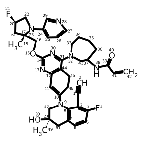 C#Cc1c(F)ccc2c1N(C1=Cc3nc(OC[C@]4(C)C[C@@H](F)CN4c4cccnc4)nc(N4CCCCC(NC(=O)C=C)C4)c3CC1)C[C@](C)(O)C2